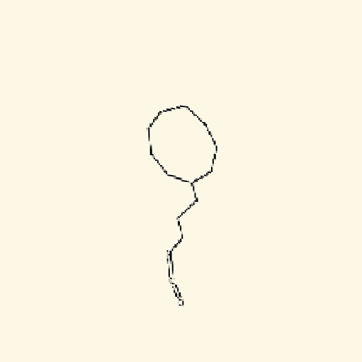 O=C=NCCCC1CCCCCCCC1